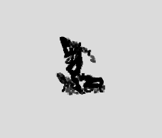 CC(C)(C)Sc1c(CC(C)(C)C(=O)O)n(Cc2ccc(Cl)cc2)c2ccc(O[C@H](C3CCCN3)S(C)(=O)=O)cc12